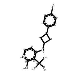 Fc1ccc(C2CC(Oc3ccnc(Cl)c3C(F)(F)F)C2)cc1